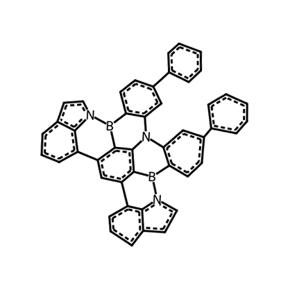 c1ccc(-c2ccc3c(c2)N2c4cc(-c5ccccc5)ccc4B4c5c(cc6c(c52)B3n2ccc3cccc-6c32)-c2cccc3ccn4c23)cc1